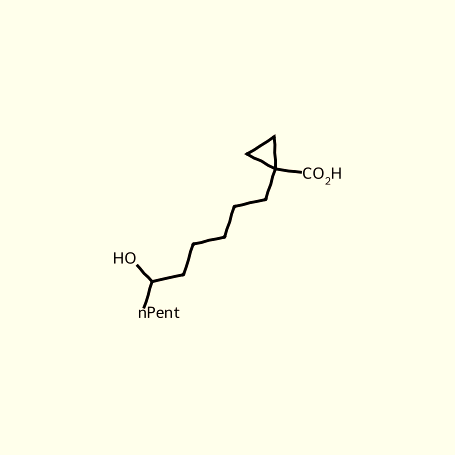 CCCCCC(O)CCCCCC1(C(=O)O)CC1